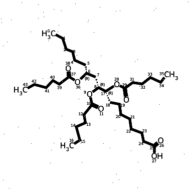 CCCCCC[C@H](C[C@@H](OC(=O)CCCCC)[C@@H](CCCCCCCC(=O)O)OC(=O)CCCCC)OC(=O)CCCCC